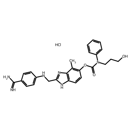 Cc1c(OC(=O)N(CCCO)c2ccccc2)ccc2[nH]c(CNc3ccc(C(=N)N)cc3)nc12.Cl